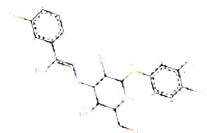 N/C(=C\NC1C(O)C(CO)OC(Sc2ccc(Cl)c(Cl)c2)C1O)c1cccc(F)c1